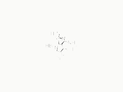 Br.Cc1c(CBr)cnc2nc(N)nc(N)c12